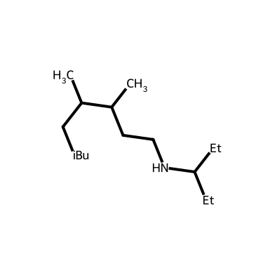 CCC(C)CC(C)C(C)CCNC(CC)CC